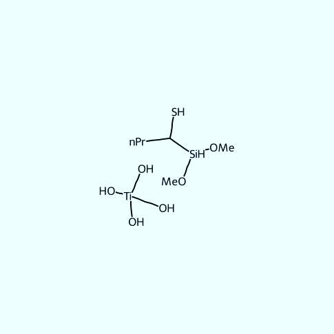 CCCC(S)[SiH](OC)OC.[OH][Ti]([OH])([OH])[OH]